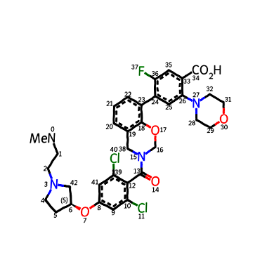 CNCCN1CC[C@H](Oc2cc(Cl)c(C(=O)N3COc4c(cccc4-c4cc(N5CCOCC5)c(C(=O)O)cc4F)C3)c(Cl)c2)C1